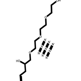 C=CCC(O)COCCOCCOCCO.[N-]=[N+]=[N-].[N-]=[N+]=[N-].[N-]=[N+]=[N-]